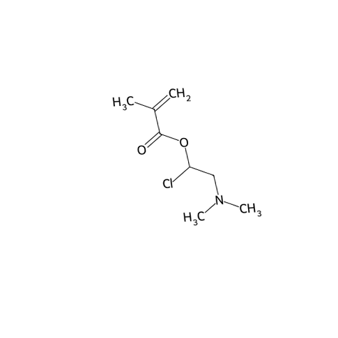 C=C(C)C(=O)OC(Cl)CN(C)C